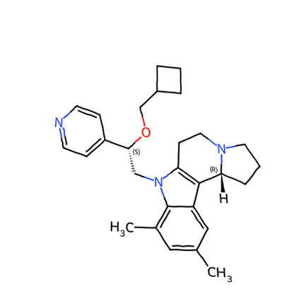 Cc1cc(C)c2c(c1)c1c(n2C[C@@H](OCC2CCC2)c2ccncc2)CCN2CCC[C@H]12